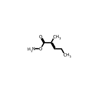 CC/C=C(\C)C(=O)ON